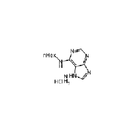 CCCCCCNc1ncnc2nc[nH]c12.Cl.N